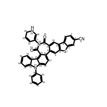 N#Cc1ccc2c(c1)sc1cc3c(cc12)c(=O)n(C1=CNCC=C1)c(=O)c1c3ccc2c1c1ccccc1n2-c1ccccc1